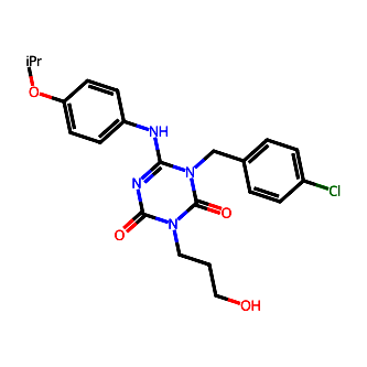 CC(C)Oc1ccc(Nc2nc(=O)n(CCCO)c(=O)n2Cc2ccc(Cl)cc2)cc1